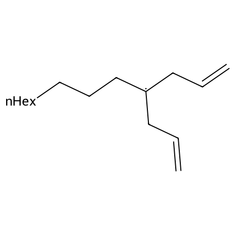 C=CC[C](CC=C)CCCCCCCCC